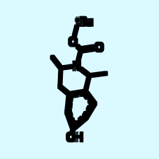 CC1Cc2cc(O)ccc2C(C)N1C(=O)OC(C)(C)C